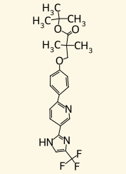 CC(C)(C)OC(=O)C(C)(C)COc1ccc(-c2ccc(-c3nc(C(F)(F)F)c[nH]3)cn2)cc1